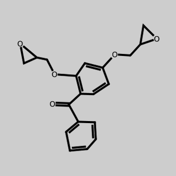 O=C(c1ccccc1)c1ccc(OCC2CO2)cc1OCC1CO1